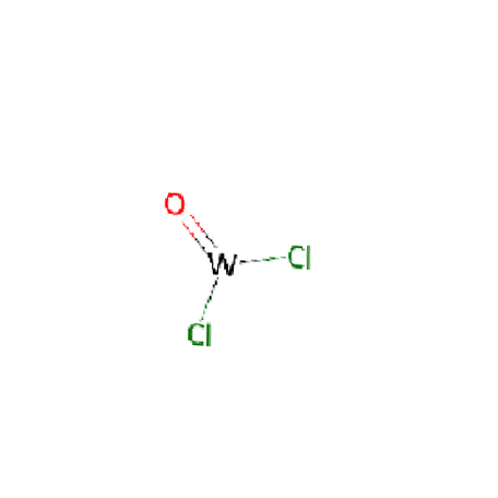 [O]=[W]([Cl])[Cl]